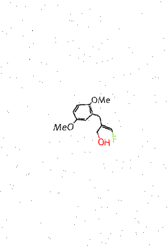 COc1ccc(OC)c(CC(=CF)CO)c1